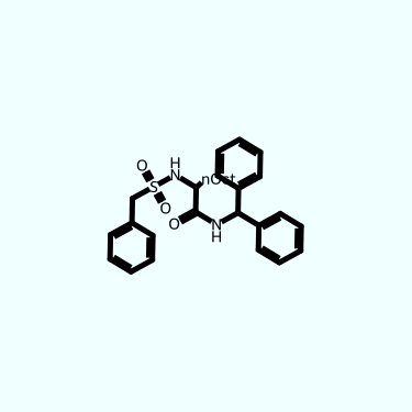 CCCCCCCCC(NS(=O)(=O)Cc1ccccc1)C(=O)NC(c1ccccc1)c1ccccc1